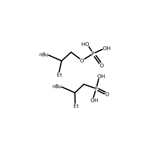 CCCCC(CC)COP(=O)(O)O.CCCCC(CC)CP(=O)(O)O